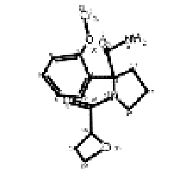 NC(=O)C1(c2ccccc2OC(F)(F)F)CCCN1C(=O)C1CCO1